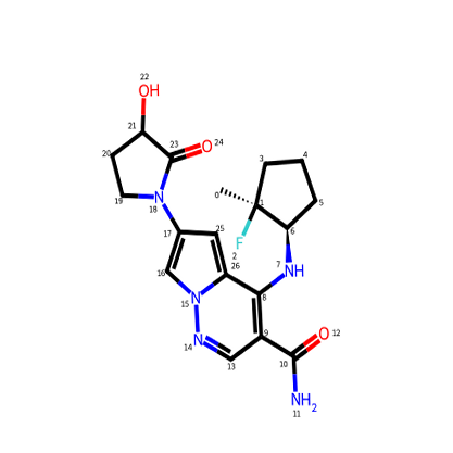 C[C@]1(F)CCC[C@H]1Nc1c(C(N)=O)cnn2cc(N3CCC(O)C3=O)cc12